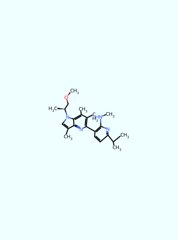 CNc1nc(C(C)C)ccc1-c1nc2c(C)cn([C@@H](C)COC)c2c(C)c1C